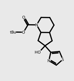 CC(C)(C)OC(=O)N1CCCC2CC(O)(c3cscn3)CC21